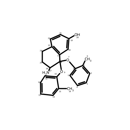 Cc1ccccc1OC1(Oc2ccccc2C)c2cc(O)ccc2CCC1N